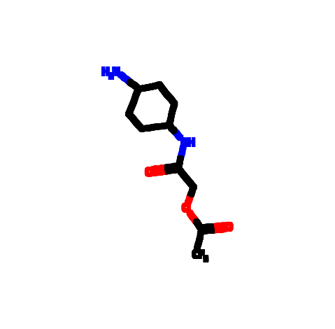 NC1CCC(NC(=O)COC(=O)C(F)(F)F)CC1